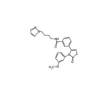 COc1cccc(-n2c(-c3cccc(C(=O)NCCCCn4cccn4)c3)csc2=O)c1